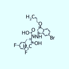 C=CCO[C@@H]1C[C@H](NN(C(=O)O)[C@@H](Cc2cc(F)cc(F)c2)[C@@H](C)O)c2cc(Br)ccc21